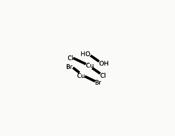 OO.[Br][Cu][Br].[Cl][Cu][Cl]